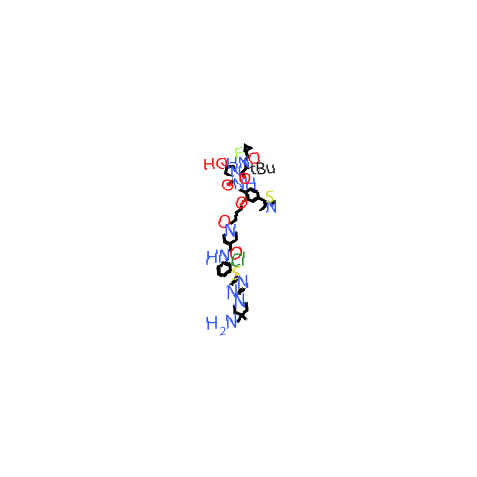 Cc1ncsc1-c1ccc(CNC(=O)[C@@H]2C[C@@H](O)CN2C(=O)[C@@H](NC(=O)C2(F)CC2)C(C)(C)C)c(OCCCC(=O)N2CCC(C(=O)Nc3cccc(Sc4cnc(N5CCC(C)(CN)CC5)cn4)c3Cl)CC2)c1